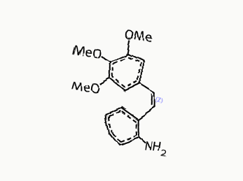 COc1cc(/C=C\c2ccccc2N)cc(OC)c1OC